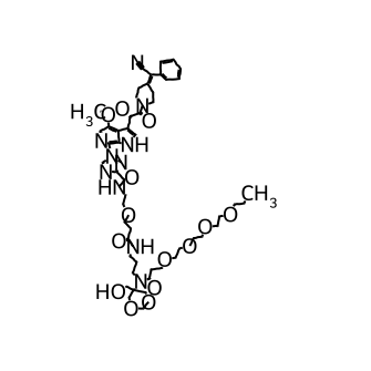 CCCOCCOCCOCCOCCC(=O)N(CCCNC(=O)CCOCCNC(=O)c1ncn(-c2ncc(OC)c3c(C(=O)C(=O)N4CCC(=C(C#N)c5ccccc5)CC4)c[nH]c23)n1)C1(CO)COCOC1